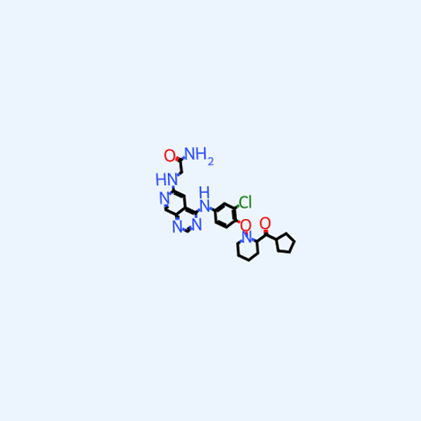 NC(=O)CNc1cc2c(Nc3ccc(ON4CCCCC4C(=O)C4CCCC4)c(Cl)c3)ncnc2cn1